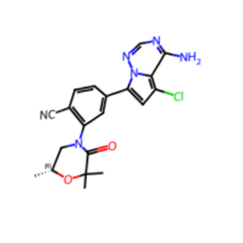 C[C@@H]1CN(c2cc(-c3cc(Cl)c4c(N)ncnn34)ccc2C#N)C(=O)C(C)(C)O1